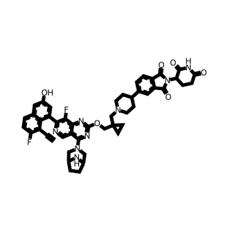 C#Cc1c(F)ccc2cc(O)cc(-c3ncc4c(N5CC6CCC(C5)N6)nc(OCC5(CN6CCC(c7ccc8c(c7)C(=O)N(C7CCC(=O)NC7=O)C8=O)CC6)CC5)nc4c3F)c12